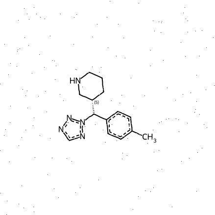 Cc1ccc(C([C@H]2CCCNC2)n2ncnn2)cc1